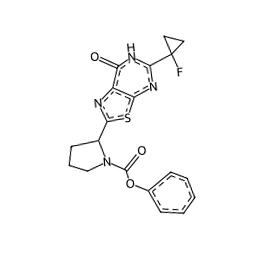 O=C(Oc1ccccc1)N1CCCC1c1nc2c(=O)[nH]c(C3(F)CC3)nc2s1